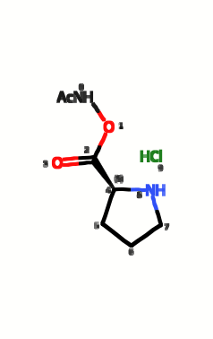 CC(=O)NOC(=O)[C@@H]1CCCN1.Cl